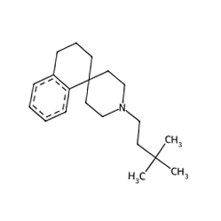 CC(C)(C)CCN1CCC2(CCCc3ccccc32)CC1